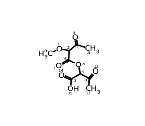 COC(C(C)=O)C(=O)OC(C(C)=O)C(=O)O